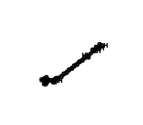 COC(COCCOCCOCCOCCOCCOCCOCCOCCOCCOCCOCCC(=O)NCCCCCC(=O)NCCC(=O)NCCC(=O)O)NC(=O)C(C)OCCOCCN1C(=O)C(Sc2ccccc2)=C(Sc2ccccc2)C1=O